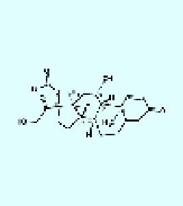 CCC(=O)O[C@]1(C(=O)CO)CC[C@H]2[C@@H]3CCC4=CC(=O)C=C[C@]4(C)[C@H]3[C@@H](O)C[C@@]21C